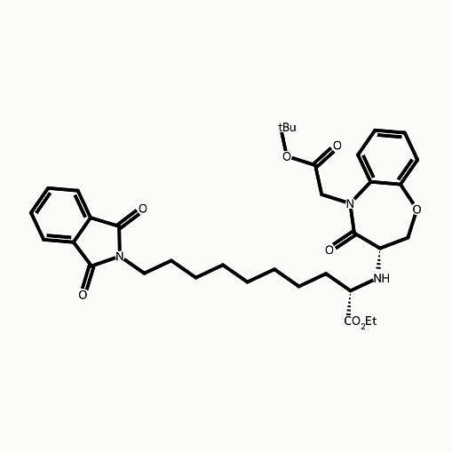 CCOC(=O)[C@H](CCCCCCCCN1C(=O)c2ccccc2C1=O)N[C@H]1COc2ccccc2N(CC(=O)OC(C)(C)C)C1=O